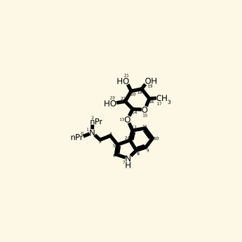 CCCN(CCC)CCc1c[nH]c2cccc(OC3OC(C)C(O)C(O)C3O)c12